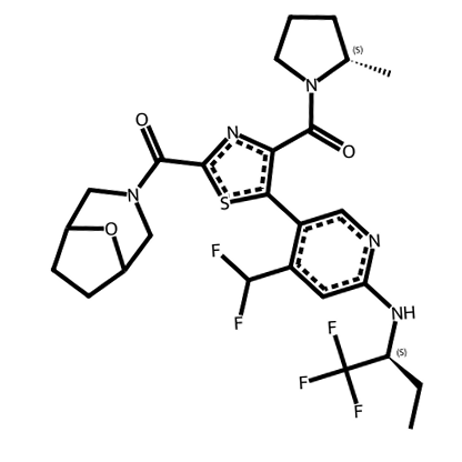 CC[C@H](Nc1cc(C(F)F)c(-c2sc(C(=O)N3CC4CCC(C3)O4)nc2C(=O)N2CCC[C@@H]2C)cn1)C(F)(F)F